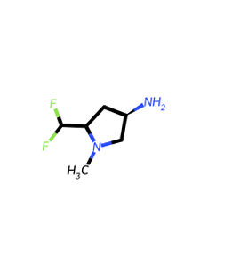 CN1C[C@H](N)CC1C(F)F